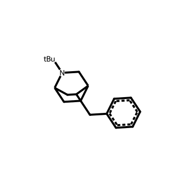 CC(C)(C)N1CC2CCC1CC2Cc1ccccc1